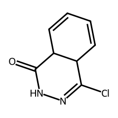 O=C1NN=C(Cl)C2C=CC=CC12